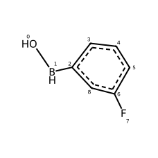 OBc1cccc(F)c1